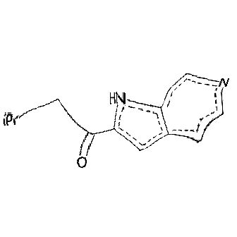 CC(C)CC(=O)c1cc2ccncc2[nH]1